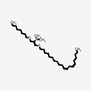 CCCCC/C=C\C/C=C\CCCCCCCCCCOCC(COCCCCCCCC)N(C)C